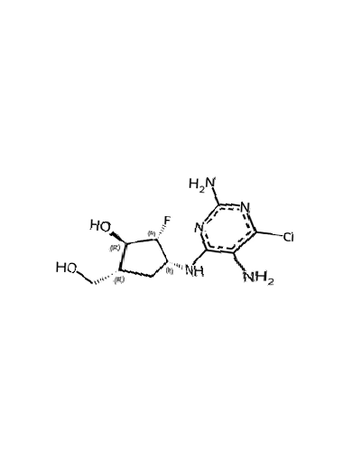 Nc1nc(Cl)c(N)c(N[C@@H]2C[C@H](CO)[C@@H](O)[C@@H]2F)n1